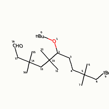 CCCCOC(CCC(C)(C)CC(C)(C)C)C(C)(C)CC(C)(C)CC=O